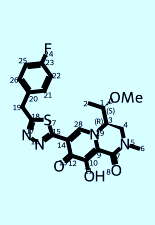 CO[C@@H](C)[C@H]1CN(C)C(=O)c2c(O)c(=O)c(-c3nnc(Cc4ccc(F)cc4)s3)cn21